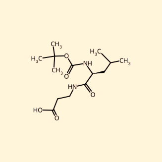 CC(C)C[C@H](NC(=O)OC(C)(C)C)C(=O)NCCC(=O)O